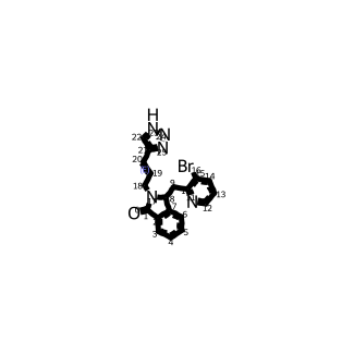 O=C1c2ccccc2C(Cc2ncccc2Br)N1C/C=C/c1c[nH]nn1